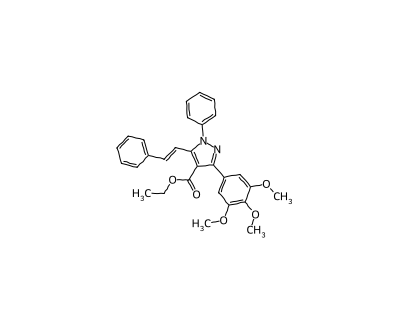 CCOC(=O)c1c(-c2cc(OC)c(OC)c(OC)c2)nn(-c2ccccc2)c1C=Cc1ccccc1